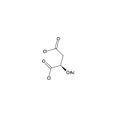 CC(=O)O[C@H](CC(=O)Cl)C(=O)Cl